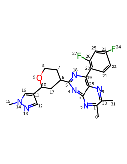 Cc1nc2nc(C3CCOC(c4cnn(C)c4)C3)nc(-c3ccc(F)cc3F)c2nc1C